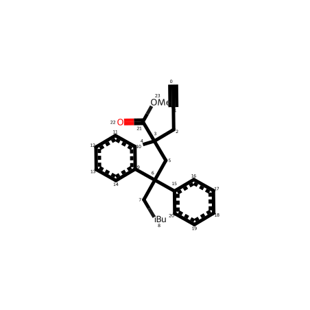 C#CCC(C)(CC(CC(C)CC)(c1ccccc1)c1ccccc1)C(=O)OC